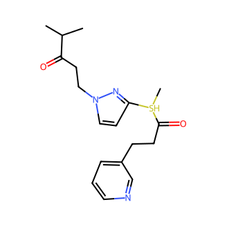 CC(C)C(=O)CCn1ccc([SH](C)C(=O)CCc2cccnc2)n1